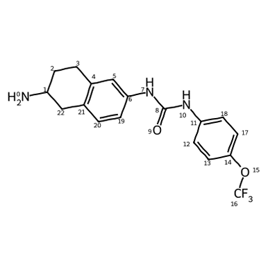 NC1CCc2cc(NC(=O)Nc3ccc(OC(F)(F)F)cc3)ccc2C1